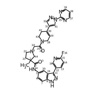 CC1(C(=O)Nc2ccc3[nH]nc(-c4ccc(F)nc4)c3c2)CCN(CC(=O)N2CC=C(c3cnn(-c4ncccn4)c3)CC2)C1